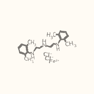 Cc1cccc(C)c1NCCNCCNc1c(C)cccc1C.[Cl-].[Cl-].[Fe+2]